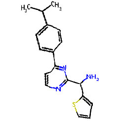 CC(C)c1ccc(-c2ccnc(C(N)c3cccs3)n2)cc1